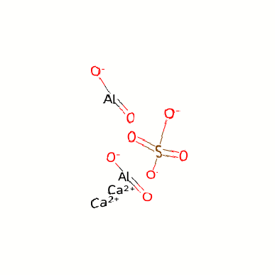 O=S(=O)([O-])[O-].[Ca+2].[Ca+2].[O]=[Al][O-].[O]=[Al][O-]